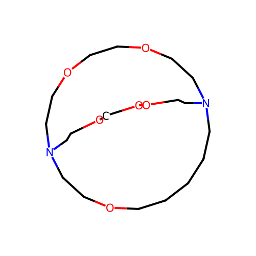 C1CCOCCN2CCOCCOCCN(CC1)CCOOCOCC2